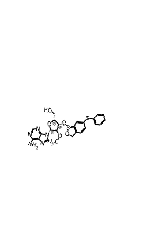 COC1[C@@H](OB2OCc3ccc(Sc4ccccc4)cc32)[C@@H](CO)O[C@H]1n1cnc2c(N)ncnc21